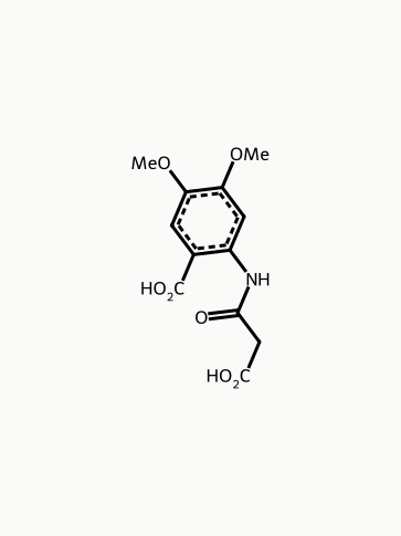 COc1cc(NC(=O)CC(=O)O)c(C(=O)O)cc1OC